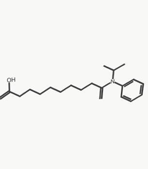 C=C(O)CCCCCCCCC(=C)N(c1ccccc1)C(C)C